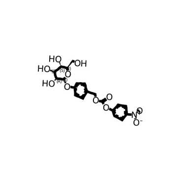 O=C(OCc1ccc(O[C@@H]2O[C@H](CO)[C@@H](O)[C@H](O)[C@H]2O)cc1)Oc1ccc([N+](=O)[O-])cc1